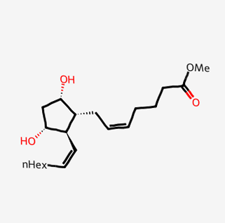 CCCCCC/C=C\[C@@H]1[C@@H](C/C=C\CCCC(=O)OC)[C@@H](O)C[C@H]1O